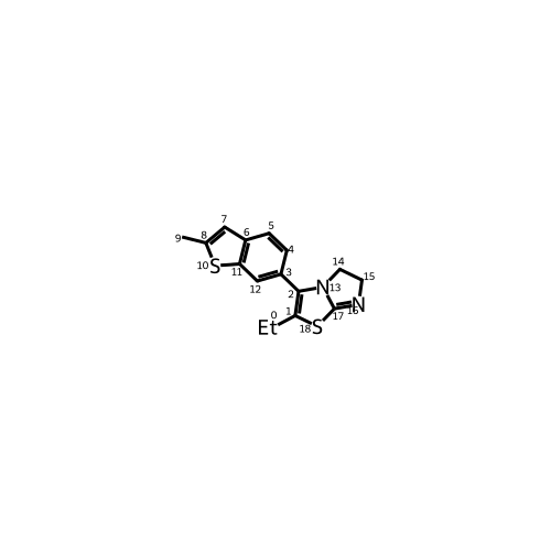 CCC1=C(c2ccc3cc(C)sc3c2)N2CCN=C2S1